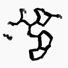 Cc1nnc(C(Oc2cccc3occc23)C(C)O)o1.Cl